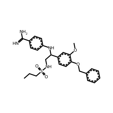 CCCS(=O)(=O)NCC(Nc1ccc(C(=N)N)cc1)c1ccc(OCc2ccccc2)c(OC)c1